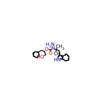 CC(C)(Cc1c[nH]c2ccccc12)N(N)C(=O)OC(CO)Cc1ccccc1